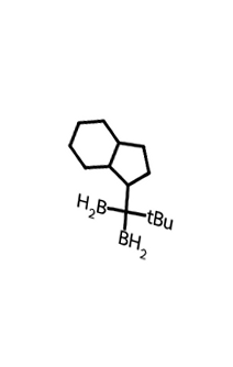 BC(B)(C1CCC2CCCCC21)C(C)(C)C